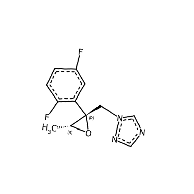 C[C@H]1O[C@@]1(Cn1cncn1)c1cc(F)ccc1F